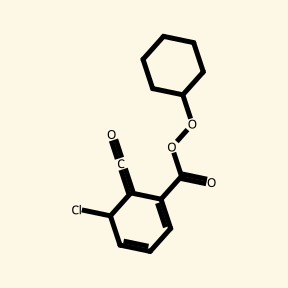 O=C=C1C(C(=O)OOC2CCCCC2)=CC=CC1Cl